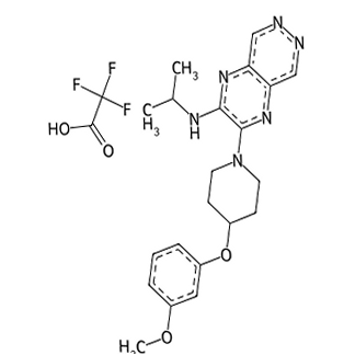 COc1cccc(OC2CCN(c3nc4cnncc4nc3NC(C)C)CC2)c1.O=C(O)C(F)(F)F